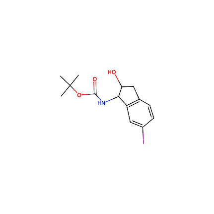 CC(C)(C)OC(=O)NC1c2cc(I)ccc2CC1O